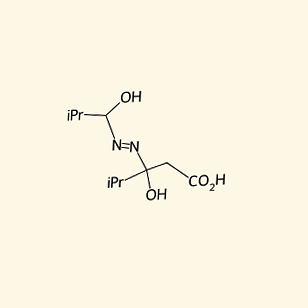 CC(C)C(O)N=NC(O)(CC(=O)O)C(C)C